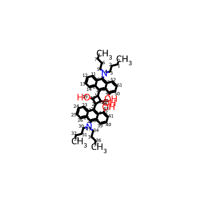 CCCCN(CCCC)c1c2ccccc2c(C2C(O)C(c3c4ccccc4c(N(CCCC)CCCC)c4cccc(O)c34)C2O)c2c(O)cccc12